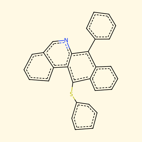 c1ccc(Sc2c3ccccc3c(-c3ccccc3)c3ncc4ccccc4c23)cc1